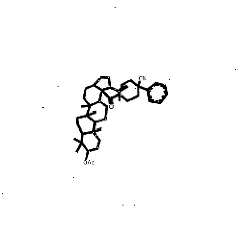 C=C(C)C1CCC2CCC3(C)C(CCC4C5(C)CCC(OC(C)=O)C(C)(C)C5CCC43C)C21C(=O)N1CCC(C#N)(c2ccccc2)CC1